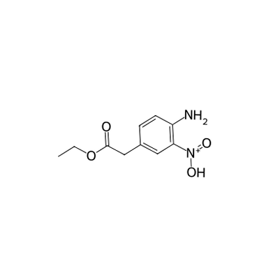 CCOC(=O)Cc1ccc(N)c([N+](=O)O)c1